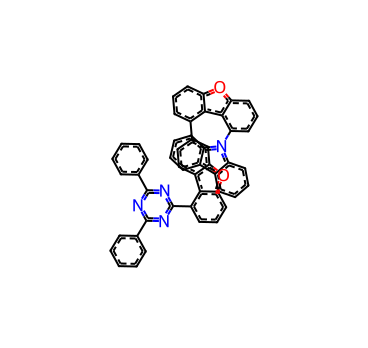 c1ccc(-c2nc(-c3ccccc3)nc(-c3cccc4oc5cc(-c6cccc7oc8cccc(-n9c%10ccccc%10c%10ccccc%109)c8c67)ccc5c34)n2)cc1